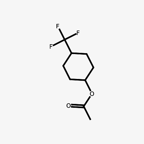 CC(=O)OC1CCC(C(F)(F)F)CC1